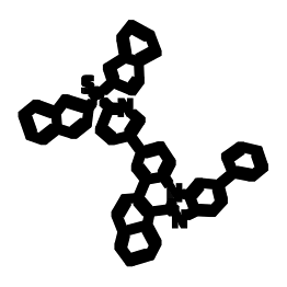 S=P(c1ccc2ccccc2c1)(c1ccc2ccccc2c1)c1ccc(-c2ccc3c(c2)c2ccc4ccccc4c2c2nc4ccc(-c5ccccc5)cc4n32)cn1